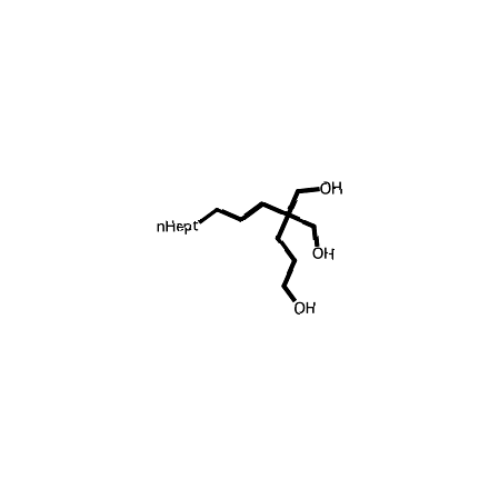 CCCCCCCCCCC(CO)(CO)CCCO